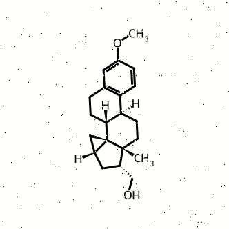 COc1ccc2c(c1)CC[C@@H]1[C@@H]2CC[C@]2(C)[C@H](CO)C[C@@H]3C[C@@]312